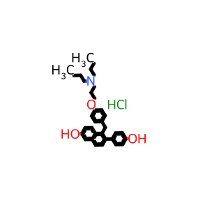 CCCCN(CCCC)CCCOc1ccc(Cc2c(-c3ccc(O)cc3)ccc3cc(O)ccc23)cc1.Cl